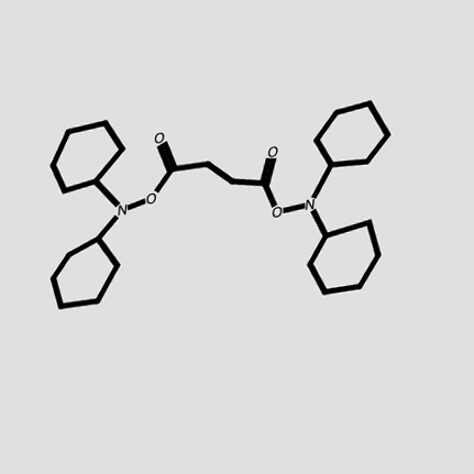 O=C(CCC(=O)ON(C1CCCCC1)C1CCCCC1)ON(C1CCCCC1)C1CCCCC1